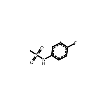 CS(=O)(=O)Nc1c[c]c(F)cc1